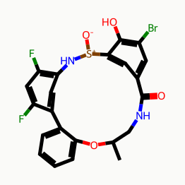 CC1CNC(=O)c2cc(Br)c(O)c(c2)[S+]([O-])Nc2cc(c(F)cc2F)-c2ccccc2O1